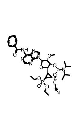 CCOP(=O)(OCC)C1CC1[C@H]1O[C@@H](n2cnc3c(NC(=O)c4ccccc4)ncnc32)[C@H](OC)[C@@H]1OP(OCCC#N)N(C(C)C)C(C)C